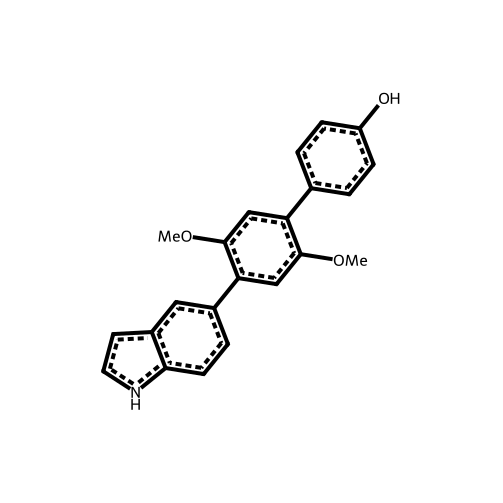 COc1cc(-c2ccc3[nH]ccc3c2)c(OC)cc1-c1ccc(O)cc1